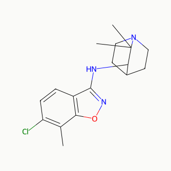 Cc1c(Cl)ccc2c(NC3C4CCN(CC4)C3(C)C)noc12